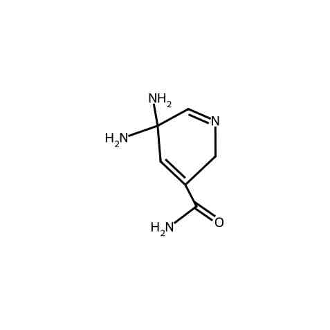 NC(=O)C1=CC(N)(N)C=NC1